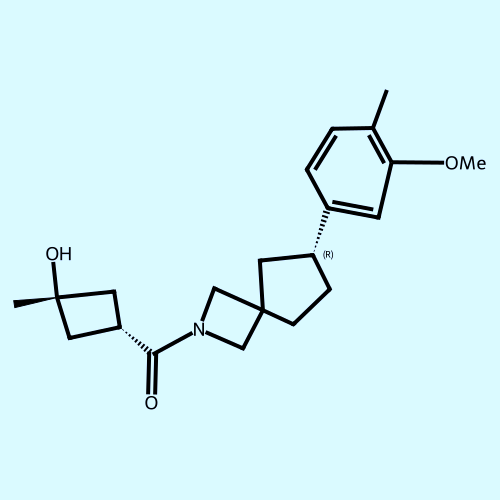 COc1cc([C@@H]2CCC3(C2)CN(C(=O)[C@H]2C[C@@](C)(O)C2)C3)ccc1C